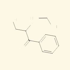 CCC(F)C(=O)c1ccccc1.CCO